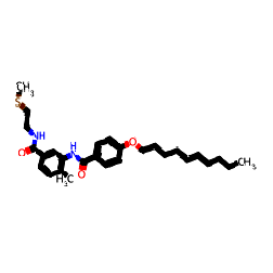 CCCCCCCCCCOc1ccc(C(=O)Nc2cc(C(=O)NCCSC)ccc2C)cc1